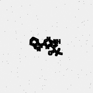 CC(C)(C)C(=O)c1c[nH]c2ncc(-n3ncc4ccccc43)nc12